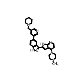 CN1CCN(c2ccnc3[nH]c(-c4n[nH]c5ccc(-c6cncc(CN7CCCCC7)c6)cc45)cc23)CC1